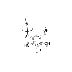 CC(C)(C#N)O[C@@H]1O[C@H](CO)[C@@H](O)[C@H](O)[C@H]1O